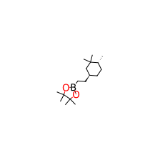 C[C@@H]1CC[C@@H](CCB2OC(C)(C)C(C)(C)O2)CC1(C)C